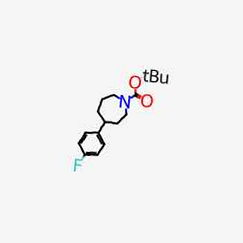 CC(C)(C)OC(=O)N1CCCC(c2ccc(F)cc2)CC1